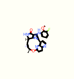 COc1c(F)cccc1Nc1c2[nH]c3c1C(=O)NC[C@H]3C/C=C\[C@H](C)Oc1ccc3nccc-2c3n1